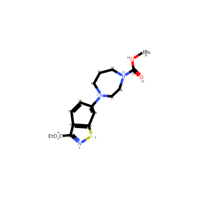 CCOC(=O)c1nsc2cc(N3CCCN(C(=O)OC(C)(C)C)CC3)ccc12